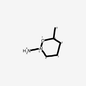 CC1CC[CH2][Al]([NH2])[O]1